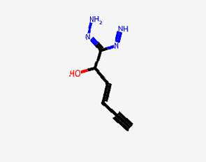 C#C/C=C/C(O)C(N=N)=NN